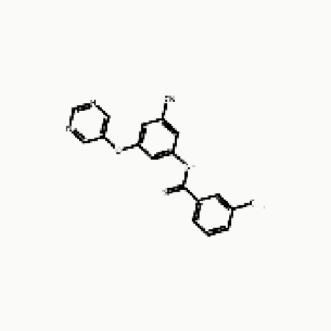 Cc1cccc(C(=O)Nc2cc(C#N)cc(Oc3cncnc3)c2)c1